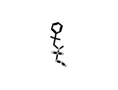 CN(CC(C)(C)c1ccccc1)S(=O)(=O)N=[N+]=[N-]